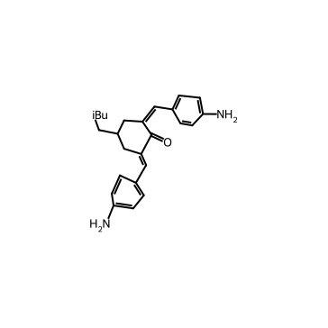 CCC(C)CC1C/C(=C/c2ccc(N)cc2)C(=O)/C(=C/c2ccc(N)cc2)C1